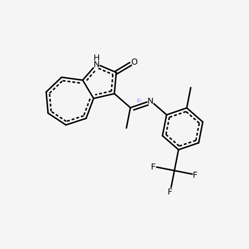 C/C(=N\c1cc(C(F)(F)F)ccc1C)c1c2cccccc-2[nH]c1=O